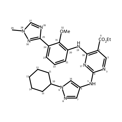 CCOC(=O)c1cnc(Nc2cnn(C3CCCCC3)c2)nc1Nc1cccc(-c2ncn(C)n2)c1OC